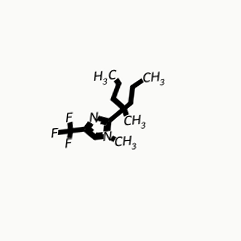 CCCC(C)(CCC)c1nc(C(F)(F)F)cn1C